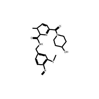 C=Nc1ccc(CNC(=O)C2N=C(C(=O)N3CCC(O)CC3)C=CC2C)cc1SC